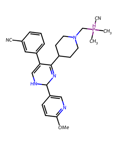 COc1ccc(C2N=C(C3CCN(C[PH](C)(C)C#N)CC3)C(c3cccc(C#N)c3)=CN2)cn1